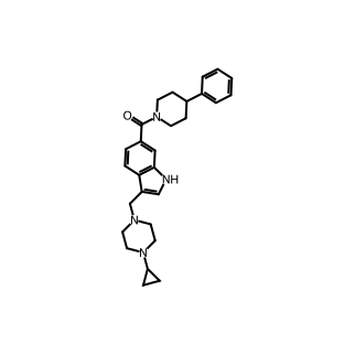 O=C(c1ccc2c(CN3CCN(C4CC4)CC3)c[nH]c2c1)N1CCC(c2ccccc2)CC1